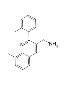 Cc1ccccc1-c1nc2c(C)cccc2cc1CN